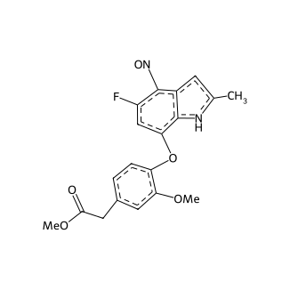 COC(=O)Cc1ccc(Oc2cc(F)c(N=O)c3cc(C)[nH]c23)c(OC)c1